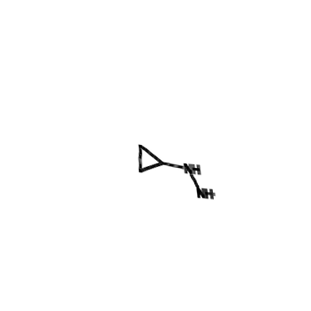 [NH]NC1CC1